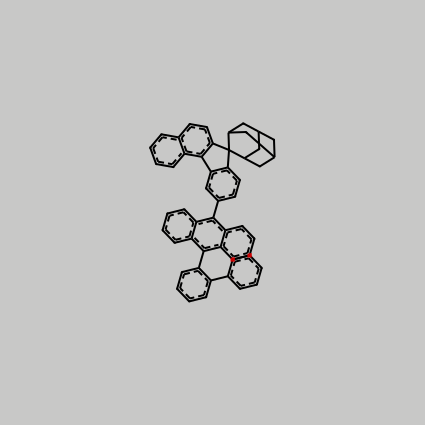 c1ccc(-c2ccccc2-c2c3ccccc3c(-c3ccc4c(c3)-c3c(ccc5ccccc35)C43C4CC5CC(C4)CC3C5)c3ccccc23)cc1